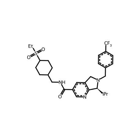 CCS(=O)(=O)C1CCC(CNC(=O)c2cnc3c(c2)CN(Cc2ccc(C(F)(F)F)cc2)[C@H]3C(C)C)CC1